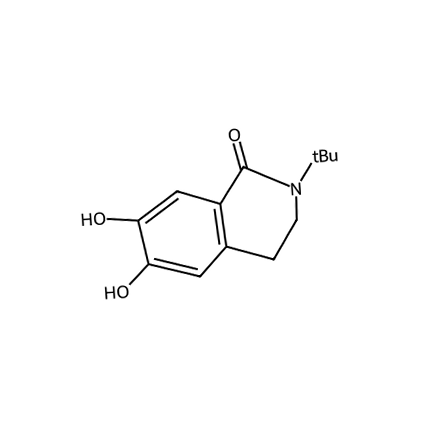 CC(C)(C)N1CCc2cc(O)c(O)cc2C1=O